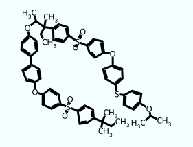 CCC(C)(C)c1ccc(S(=O)(=O)c2ccc(Oc3ccc(-c4ccc(OC(C)C(C)(CC)c5ccc(S(=O)(=O)c6ccc(Oc7ccc(Sc8ccc(OC(C)C)cc8)cc7)cc6)cc5)cc4)cc3)cc2)cc1